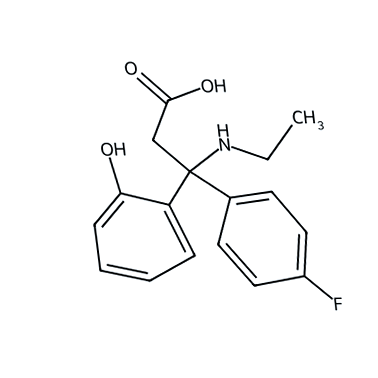 CCNC(CC(=O)O)(c1ccc(F)cc1)c1ccccc1O